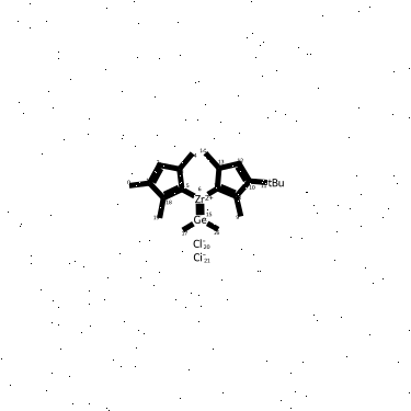 CC1=CC(C)[C]([Zr+2]([C]2=C(C)C(C(C)(C)C)=CC2C)=[Ge]([CH3])[CH3])=C1C.[Cl-].[Cl-]